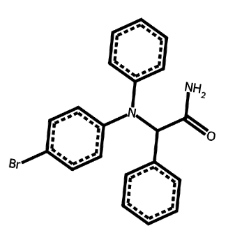 NC(=O)C(c1ccccc1)N(c1ccccc1)c1ccc(Br)cc1